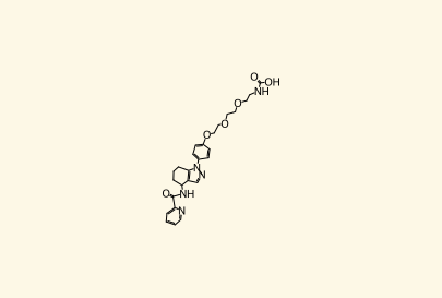 O=C(O)NCCOCCOCCOc1ccc(-n2ncc3c2CCCC3NC(=O)c2ccccn2)cc1